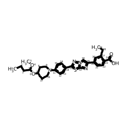 CCCC(OC)OC1CCN(c2ccc(-c3nn4cc(-c5ccc(C(=O)O)c(CC)c5)nc4s3)cc2)CC1